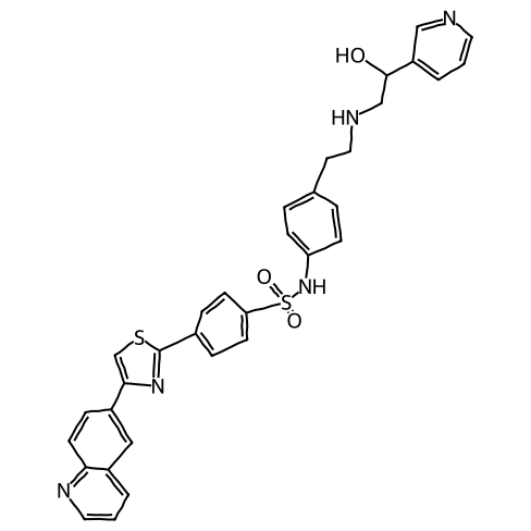 O=S(=O)(Nc1ccc(CCNCC(O)c2cccnc2)cc1)c1ccc(-c2nc(-c3ccc4ncccc4c3)cs2)cc1